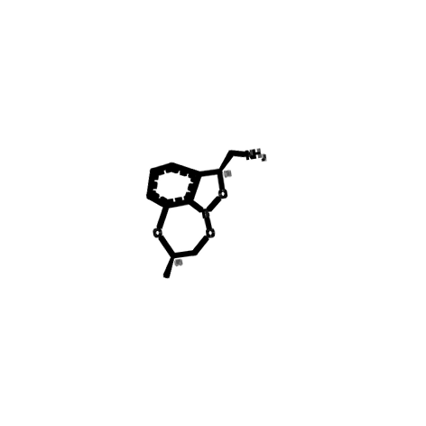 C[C@@H]1COB2O[C@H](CN)c3cccc(c32)O1